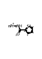 CCCNC(=O)c1cccs1